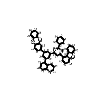 c1ccc(-c2nc(-c3cc(-c4ccc5c(c4)Oc4ccccc4O5)cc(-c4cccc5ncccc45)c3)cc(-c3cccc4oc5ccccc5c34)n2)cc1